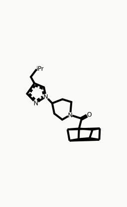 CC(C)Cc1cnn(C2CCN(C(=O)C34C5C6C7C5C3C7C64)CC2)c1